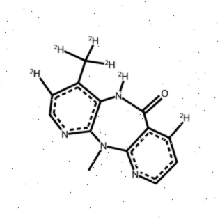 [2H]c1ccnc2c1C(=O)N([2H])c1c(ncc([2H])c1C([2H])([2H])[2H])N2C